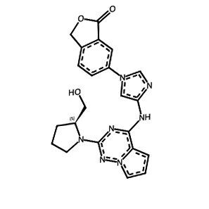 O=C1OCc2ccc(-n3cnc(Nc4nc(N5CCC[C@H]5CO)nn5cccc45)c3)cc21